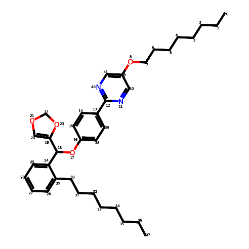 CCCCCCCCOc1cnc(-c2ccc(OC(C3=COCO3)c3ccccc3CCCCCCCC)cc2)nc1